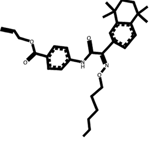 C=CCOC(=O)c1ccc(NC(=O)C(=NOCCCCCC)c2ccc3c(c2)C(C)(C)CCC3(C)C)cc1